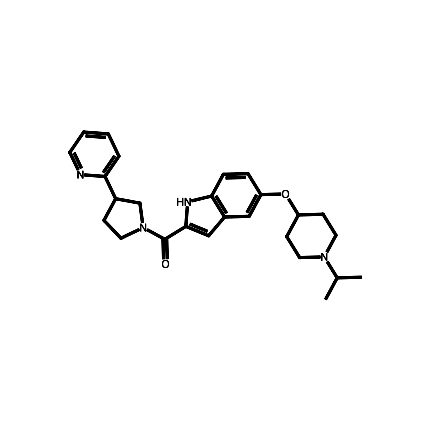 CC(C)N1CCC(Oc2ccc3[nH]c(C(=O)N4CCC(c5ccccn5)C4)cc3c2)CC1